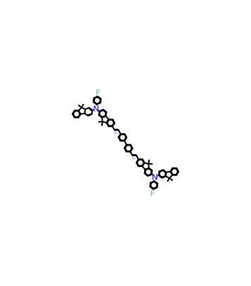 CC1(C)c2cc(/C=C/c3ccc(-c4ccc(/C=C/c5ccc6c(c5)C(C)(C)c5cc(N(c7ccc(F)cc7)c7ccc8c(c7)C(C)(C)c7ccccc7-8)ccc5-6)cc4)cc3)ccc2-c2ccc(N(C3=CC4C(C=C3)c3ccccc3C4(C)C)c3ccc(F)cc3)cc21